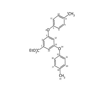 CCOC(=O)c1cc(Oc2ccc(C)cc2)cc(Oc2ccc(C)cc2)c1